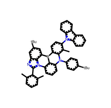 Cc1cccc(C)c1-c1nc2cc(C(C)(C)C)cc3c2n1-c1cccc2c1B3c1ccc(-n3c4ccccc4c4ccccc43)c(C)c1N2c1ccc(C(C)(C)C)cc1